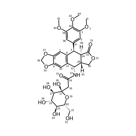 COc1cc([C@@H]2c3cc4c(cc3[C@@H](NC(=O)C[C@]3(O)O[C@H](CO)[C@@H](O)[C@H](O)[C@H]3O)[C@H]3COC(=O)[C@H]23)OCO4)cc(OC)c1OC